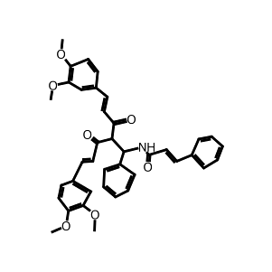 COc1ccc(/C=C/C(=O)C(C(=O)/C=C/c2ccc(OC)c(OC)c2)C(NC(=O)/C=C/c2ccccc2)c2ccccc2)cc1OC